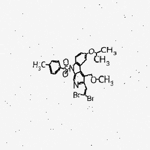 COCc1c(C=C(Br)Br)ncc2c1c1cc(OC(C)C)ccc1n2S(=O)(=O)c1ccc(C)cc1